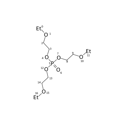 CCOCCOP(=O)(OCCOCC)OCCOCC